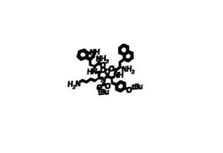 CC(C)(C)OC(=O)N(C(=O)[C@H](Cc1ccc(OC(C)(C)C)cc1)NC(=O)[C@@H](N)Cc1cccc2ccccc12)[C@@H](CCCCN)C(=O)N[C@@H](Cc1c[nH]c2ccccc12)C(N)=O